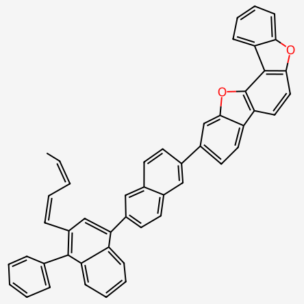 C/C=C\C=C/c1cc(-c2ccc3cc(-c4ccc5c(c4)oc4c5ccc5oc6ccccc6c54)ccc3c2)c2ccccc2c1-c1ccccc1